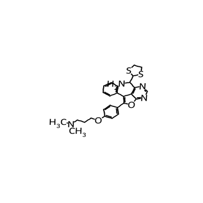 CN(C)CCCOc1ccc(-c2oc3ncnc(C(N)C4SCCS4)c3c2-c2ccccc2)cc1